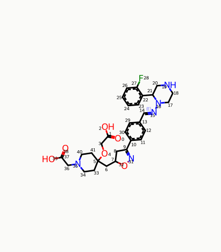 O=C(O)COC1(CC2CC(c3ccc(/C=N/N4CCNCC4c4ccccc4F)cc3)=NO2)CCN(CC(=O)O)CC1